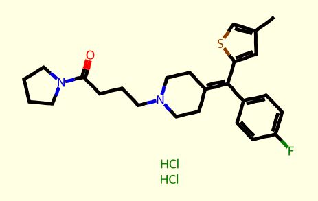 Cc1csc(C(=C2CCN(CCCC(=O)N3CCCC3)CC2)c2ccc(F)cc2)c1.Cl.Cl